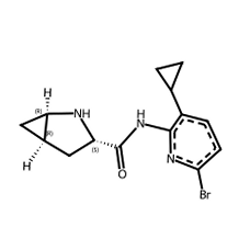 O=C(Nc1nc(Br)ccc1C1CC1)[C@@H]1C[C@H]2C[C@H]2N1